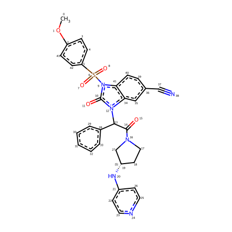 COc1ccc(S(=O)(=O)n2c(=O)n(C(C(=O)N3CC[C@H](Nc4ccncc4)C3)c3ccccc3)c3cc(C#N)ccc32)cc1